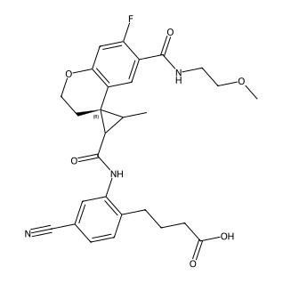 COCCNC(=O)c1cc2c(cc1F)OCC[C@]21C(C)C1C(=O)Nc1cc(C#N)ccc1CCCC(=O)O